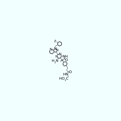 C[C@]1(c2ccc(CCC(=O)NCC(=O)O)cc2)C(=O)Nc2nc(-c3nn(Cc4ccccc4F)c4ncccc34)nc(N)c21